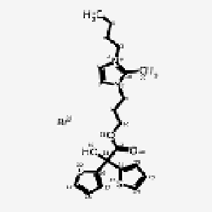 CCCC[n+]1ccn(CCCOC(=O)C(O)(c2cccs2)c2cccs2)c1C.[Br-]